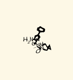 C[C@H](NC(=O)c1ncc(-c2ccccc2)cc1N)C(=O)N1CCC2(CC1)CC2